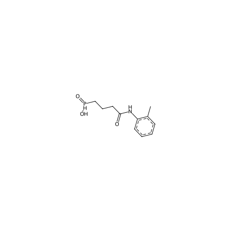 Cc1ccccc1NC(=O)CCC[PH](=O)O